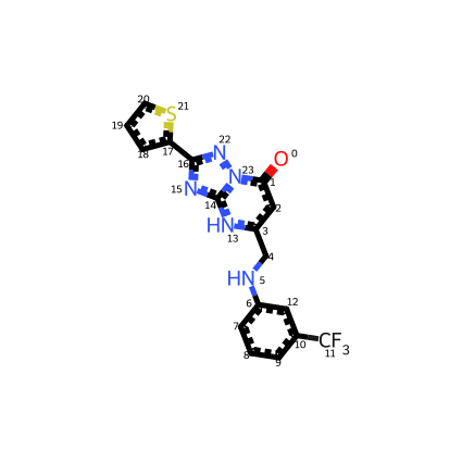 O=c1cc(CNc2cccc(C(F)(F)F)c2)[nH]c2nc(-c3cccs3)nn12